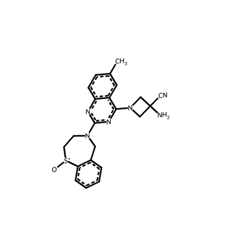 Cc1ccc2nc(N3CC[S+]([O-])c4ccccc4C3)nc(N3CC(N)(C#N)C3)c2c1